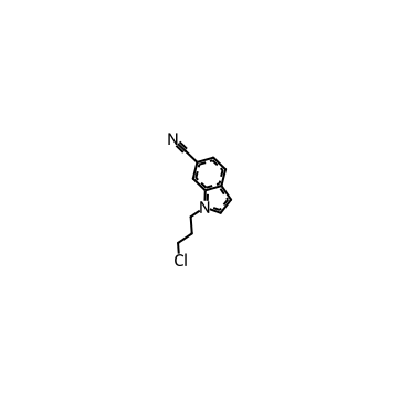 N#Cc1ccc2ccn(CCCCl)c2c1